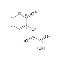 O=C(O)C(=O)OC1=CC=CCC1=O